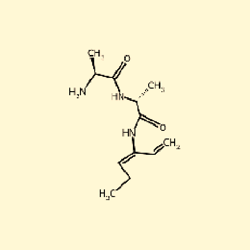 C=C/C(=C\CC)NC(=O)[C@@H](C)NC(=O)[C@H](C)N